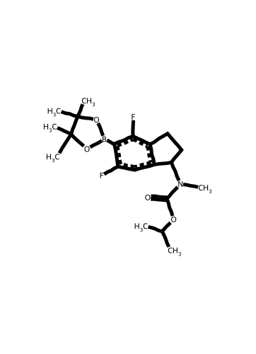 CC(C)OC(=O)N(C)C1CCc2c1cc(F)c(B1OC(C)(C)C(C)(C)O1)c2F